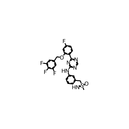 CS(=N)(=O)Cc1cccc(Nc2ncnc(-c3ccc(F)cc3OCc3cc(F)c(F)c(F)c3)n2)c1